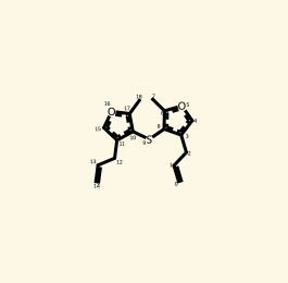 C=CCc1coc(C)c1Sc1c(CC=C)coc1C